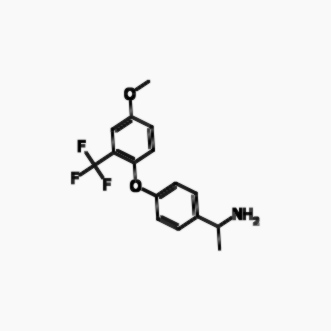 COc1ccc(Oc2ccc(C(C)N)cc2)c(C(F)(F)F)c1